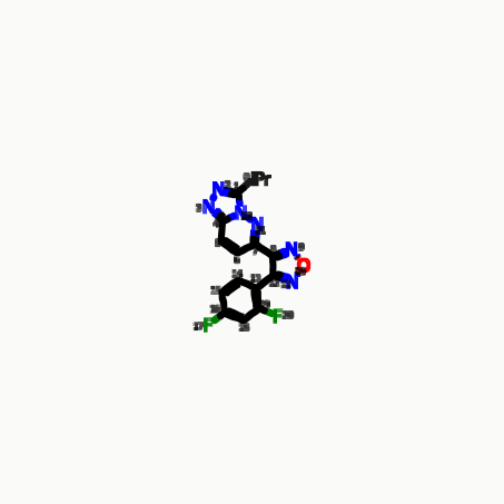 CC(C)c1nnc2ccc(-c3nonc3-c3ccc(F)cc3F)nn12